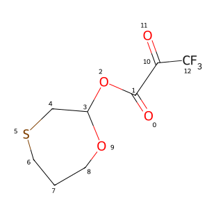 O=C(OC1CSCCCO1)C(=O)C(F)(F)F